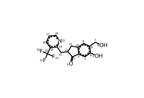 O=C1c2cc(O)c(CO)cc2CC1Cc1ncccc1C(F)(F)F